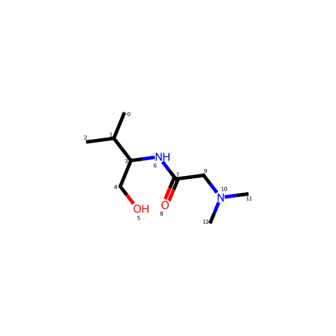 CC(C)C(CO)NC(=O)CN(C)C